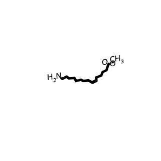 COC(=O)CCCC/C=C\CCCCCCCCN